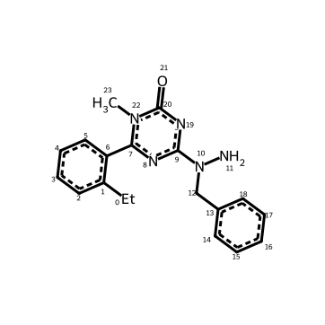 CCc1ccccc1-c1nc(N(N)Cc2ccccc2)nc(=O)n1C